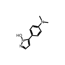 CN(C)c1ccc(-c2ccnn2O)cc1